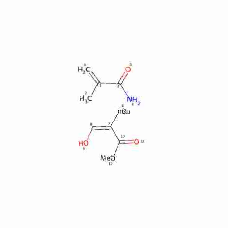 C=C(C)C(N)=O.CCCCC(=CO)C(=O)OC